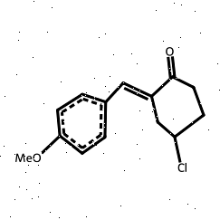 COc1ccc(C=C2CC(Cl)CCC2=O)cc1